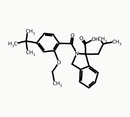 CCOc1cc(C(C)(C)C)ccc1C(=O)N1Cc2ccccc2C1(CC(C)C)C(=O)O